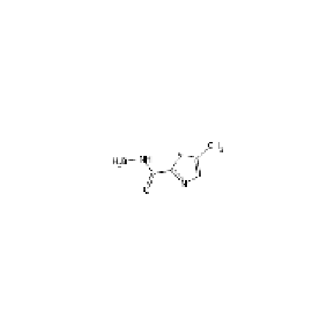 BNC(=O)c1ncc(C)s1